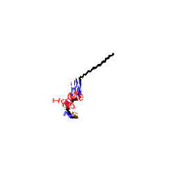 CCCCCCCCCCCCCCCCCCNC(=O)OCC(COP(=O)(O)OCCc1nccs1)OC